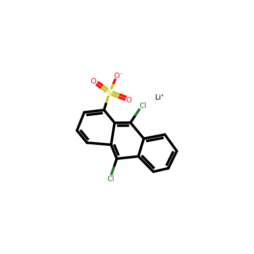 O=S(=O)([O-])c1cccc2c(Cl)c3ccccc3c(Cl)c12.[Li+]